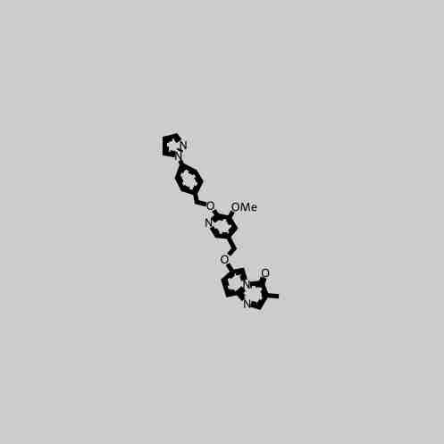 COc1cc(COc2ccc3ncc(C)c(=O)n3c2)cnc1OCc1ccc(-n2cccn2)cc1